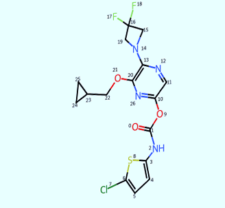 O=C(Nc1ccc(Cl)s1)Oc1cnc(N2CC(F)(F)C2)c(OCC2CC2)n1